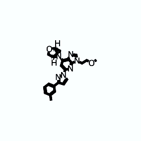 COCCn1cnc2c(N3C[C@H]4C[C@@H]3CO4)cc(-n3ccc(-c4cccc(C)c4)n3)nc21